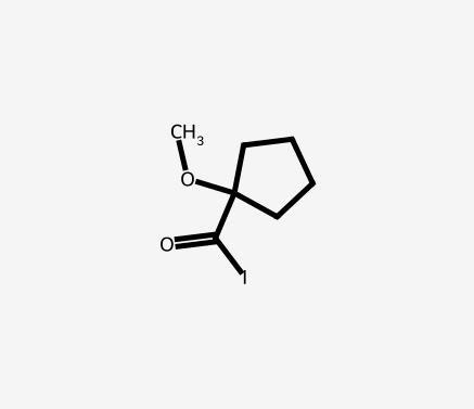 COC1(C(=O)I)CCCC1